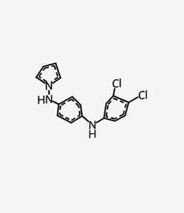 Clc1ccc(Nc2ccc(Nn3cccc3)cc2)cc1Cl